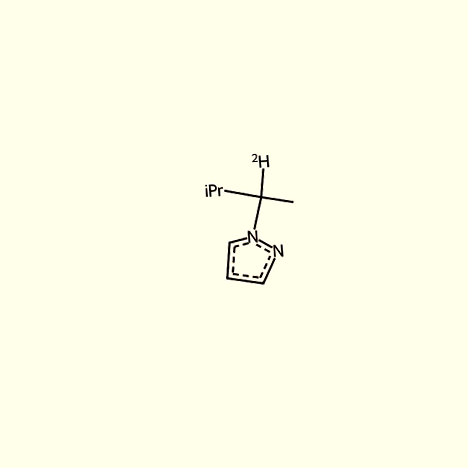 [2H]C(C)(C(C)C)n1cccn1